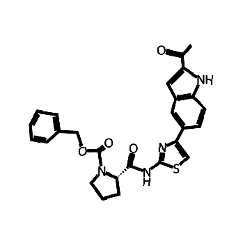 CC(=O)c1cc2cc(-c3csc(NC(=O)[C@@H]4CCCN4C(=O)OCc4ccccc4)n3)ccc2[nH]1